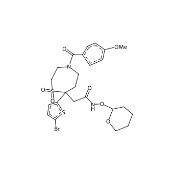 COc1ccc(C(=O)N2CCC(CC(=O)NOC3CCCCO3)(c3ccc(Br)s3)S(=O)(=O)CC2)cc1